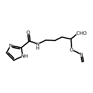 C=NOC(C=O)CCCNC(=O)c1ncc[nH]1